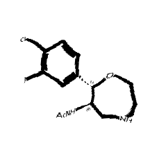 CC(=O)N[C@@H]1CNCCO[C@H]1c1ccc(Cl)c(I)c1